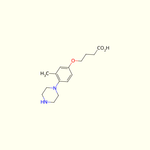 Cc1cc(OCCCC(=O)O)ccc1N1CCNCC1